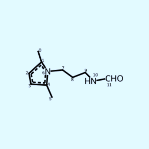 Cc1ccc(C)n1CCCNC=O